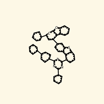 c1ccc(-c2ccc(-c3nc(-c4ccccc4)nc(-c4cccc5sc6cc(-c7cc(-c8ccccc8)cc8oc9ccccc9c78)ccc6c45)n3)cc2)cc1